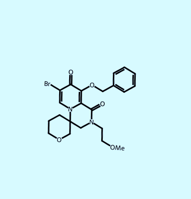 COCCN1CC2(CCCOC2)n2cc(Br)c(=O)c(OCc3ccccc3)c2C1=O